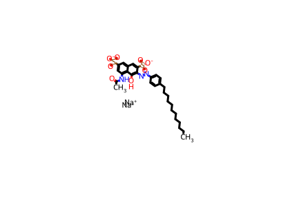 CCCCCCCCCCCCc1ccc(/N=N/c2c(S(=O)(=O)[O-])cc3cc(S(=O)(=O)[O-])cc(NC(C)=O)c3c2O)cc1.[Na+].[Na+]